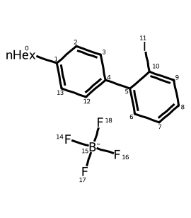 CCCCCCc1ccc(-c2ccccc2I)cc1.F[B-](F)(F)F